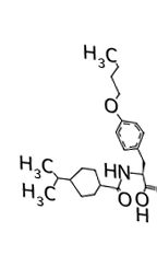 CCCCOc1ccc(C[C@H](NC(=O)C2CCC(C(C)C)CC2)C(=O)O)cc1